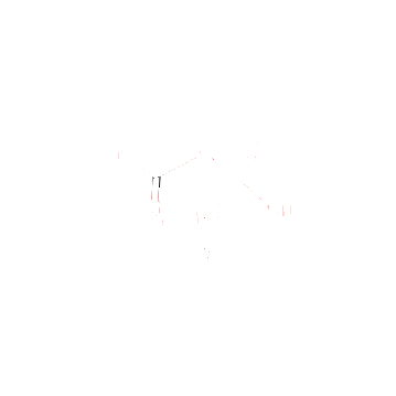 O=C(O)OP(=O)(O)O.[Zn]